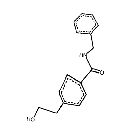 O=C(NCc1ccccc1)c1ccc(CCO)cc1